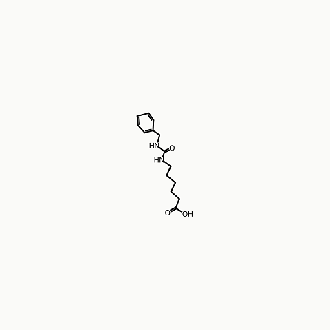 O=C(O)CCCCCNC(=O)NCc1ccccc1